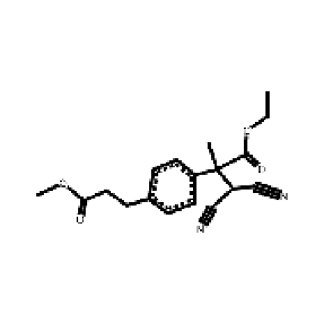 CCOC(=O)C(C)(c1ccc(CCC(=O)OC)cc1)C(C#N)C#N